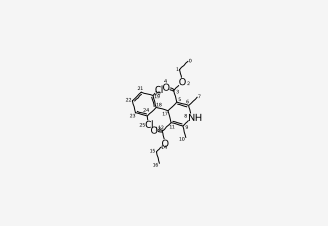 CCOC(=O)C1=C(C)NC(C)=C(C(=O)OCC)C1c1c(Cl)cccc1Cl